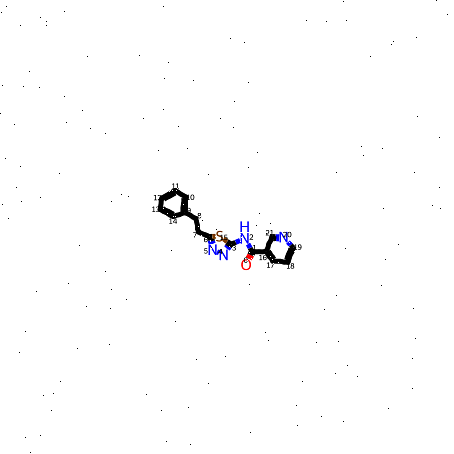 O=C(Nc1nnc(CCc2ccccc2)s1)c1cccnc1